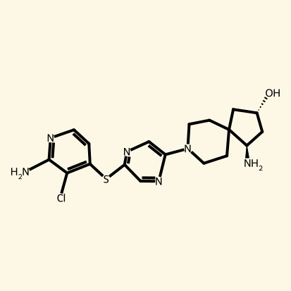 Nc1nccc(Sc2cnc(N3CCC4(CC3)C[C@H](O)C[C@H]4N)cn2)c1Cl